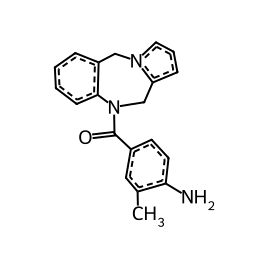 Cc1cc(C(=O)N2Cc3cccn3Cc3ccccc32)ccc1N